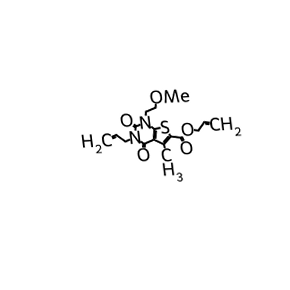 C=CCOC(=O)c1sc2c(c1C)c(=O)n(CC=C)c(=O)n2CCOC